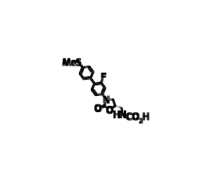 CSc1ccc(-c2ccc(N3C[C@H](CNC(=O)O)OC3=O)cc2F)cc1